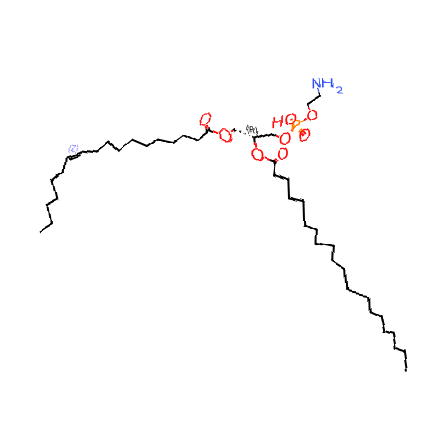 CCCCCC/C=C\CCCCCCCCCC(=O)OC[C@H](COP(=O)(O)OCCN)OC(=O)CCCCCCCCCCCCCCCCCCC